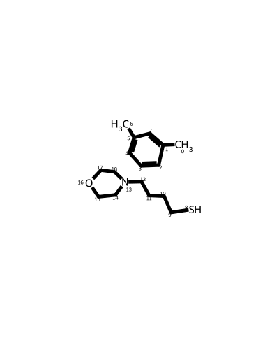 Cc1cccc(C)c1.SCCCCN1CCOCC1